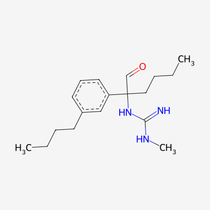 CCCCc1cccc(C(C=O)(CCCC)NC(=N)NC)c1